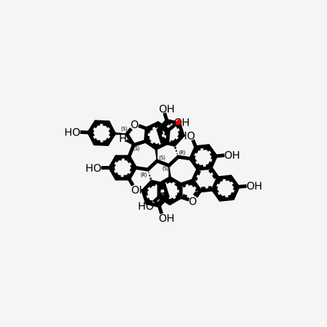 Oc1ccc([C@@H]2c3c(O)cc(O)cc3[C@H]3c4c(cc(O)cc4[C@H]2[C@@H]2c4cc(O)cc5oc6c7ccc(O)cc7c7c(O)cc(O)c(c7c6c45)[C@H]2c2ccc(O)cc2)O[C@@H]3c2ccc(O)cc2)cc1